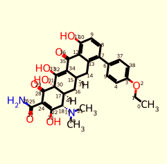 CCOc1ccc(-c2ccc(O)c3c2C[C@H]2C[C@H]4[C@H](N(C)C)C(O)=C(C(N)=O)C(=O)[C@@]4(O)C(O)=C2C3=O)cc1